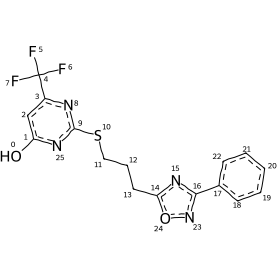 Oc1cc(C(F)(F)F)nc(SCCCc2nc(-c3ccccc3)no2)n1